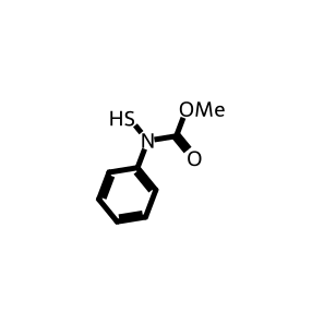 COC(=O)N(S)c1ccccc1